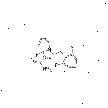 NC(=S)NC1(Cl)C=CC=CN1CCc1c(F)cccc1F